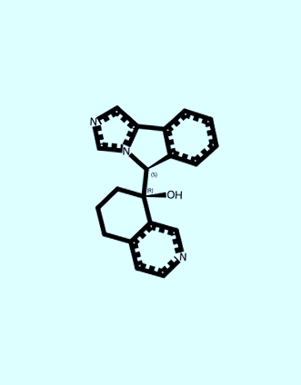 O[C@]1([C@@H]2c3ccccc3-c3cncn32)CCCc2ccncc21